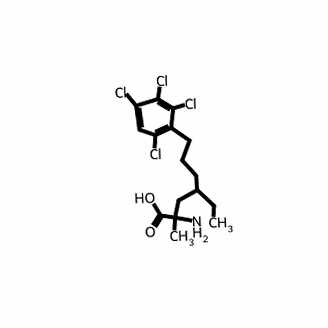 CCC(CCCc1c(Cl)cc(Cl)c(Cl)c1Cl)CC(C)(N)C(=O)O